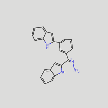 N/N=C(/c1cccc(-c2cc3ccccc3[nH]2)c1)c1cc2ccccc2[nH]1